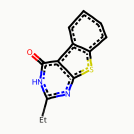 CCc1nc2sc3ccccc3c2c(=O)[nH]1